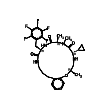 C[C@@H]1CN[C@@H](C2CC2)C(=O)N(C)[C@H](C)C(=O)N[C@H](Cc2c(F)c(F)c(F)c(F)c2F)C(=O)NCCCc2ccccc2O1